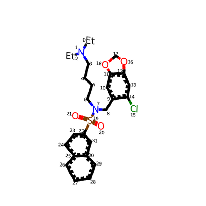 CCN(CC)CCCCN(Cc1cc2c(cc1Cl)OCO2)S(=O)(=O)c1ccc2ccccc2c1